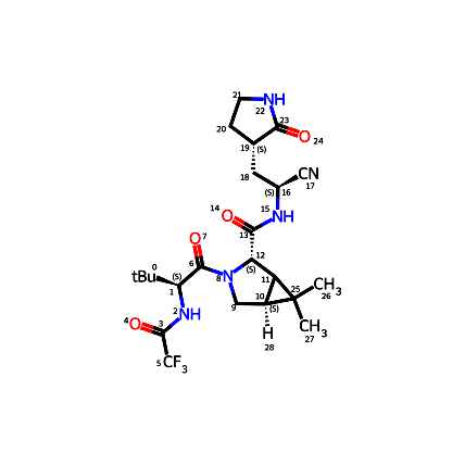 CC(C)(C)[C@H](NC(=O)C(F)(F)F)C(=O)N1C[C@H]2C([C@H]1C(=O)N[C@H](C#N)C[C@@H]1CCNC1=O)C2(C)C